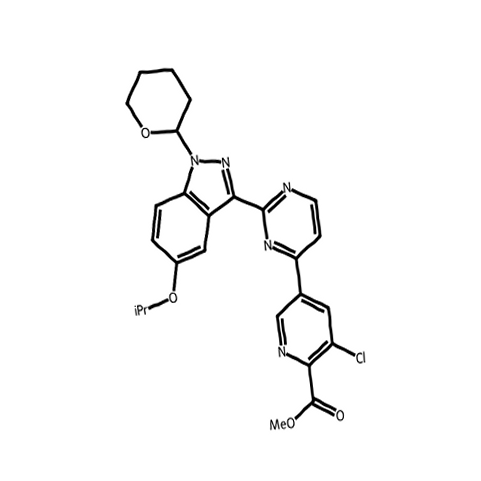 COC(=O)c1ncc(-c2ccnc(-c3nn(C4CCCCO4)c4ccc(OC(C)C)cc34)n2)cc1Cl